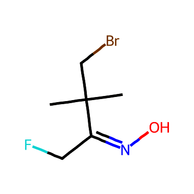 CC(C)(CBr)/C(CF)=N\O